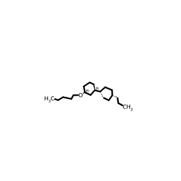 CCCCCO[C@@H]1CCC[C@@H]([C@H]2CC[C@@H](CCC)CC2)C1